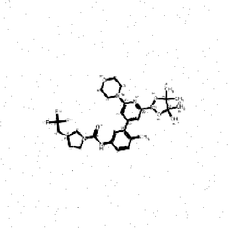 Cc1ccc(NC(=O)N2CC[C@@H](CC(F)(F)F)C2)cc1-c1cc(B2OC(C)(C)C(C)(C)O2)nc(N2CCOCC2)c1